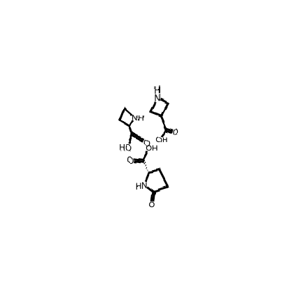 O=C(O)C1CCN1.O=C(O)C1CNC1.O=C1CC[C@@H](C(=O)O)N1